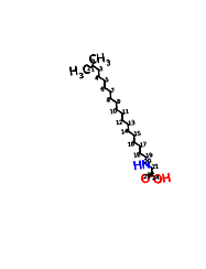 CC(C)CCCCCCCCCCCCCCCCCNCC(=O)O